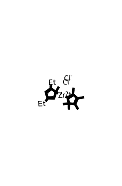 CCC1=C[C](C)([Zr+2][C]2=C(C)C(C)=C(C)C2(C)C)C(CC)=C1.[Cl-].[Cl-]